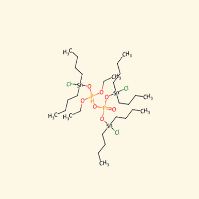 CCC[CH2][Sn]([Cl])([CH2]CCC)[O]P(=O)(O[PH](OCC)(OCC)[O][Sn]([Cl])([CH2]CCC)[CH2]CCC)[O][Sn]([Cl])([CH2]CCC)[CH2]CCC